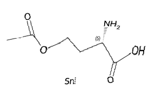 CC(=O)OCC[C@H](N)C(=O)O.[Sn]